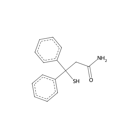 NC(=O)CC(S)(c1ccccc1)c1ccccc1